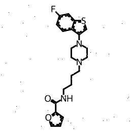 O=C(NCCCCN1CCN(c2csc3cc(F)ccc23)CC1)c1ccco1